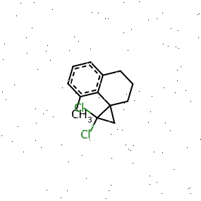 Cc1cccc2c1C1(CCC2)CC1(Cl)Cl